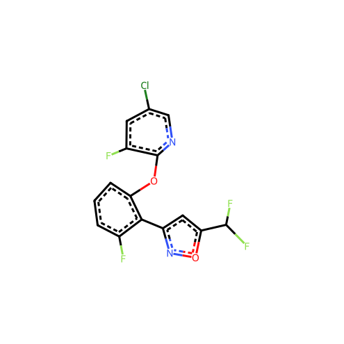 Fc1cc(Cl)cnc1Oc1cccc(F)c1-c1cc(C(F)F)on1